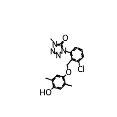 Cc1cc(OCc2c(Cl)cccc2-n2nnn(C)c2=O)c(C)cc1O